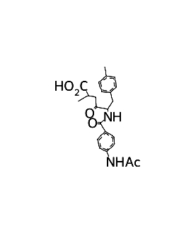 CC(=O)Nc1ccc(C(=O)NC(Cc2ccc(C)cc2)C(=O)CC(C)C(=O)O)cc1